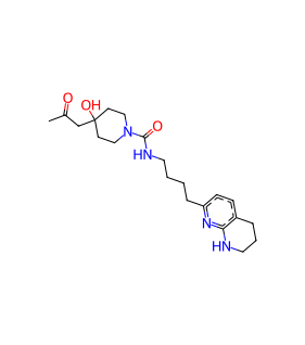 CC(=O)CC1(O)CCN(C(=O)NCCCCc2ccc3c(n2)NCCC3)CC1